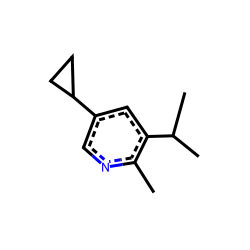 Cc1ncc(C2CC2)cc1C(C)C